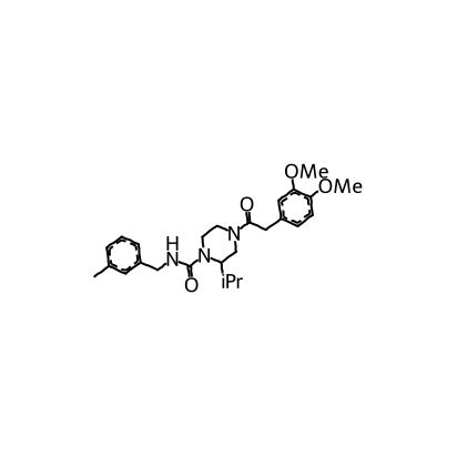 COc1ccc(CC(=O)N2CCN(C(=O)NCc3cccc(C)c3)C(C(C)C)C2)cc1OC